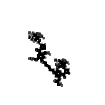 COc1cc(C(=O)N2CC[C@H]2CO[Si](C)(C)C(C)(C)C)c(N)cc1OCCCCCOc1cc(OC(N)=O)c(C(=O)N2CC[C@H]2CO[Si](C)(C)C(C)(C)C)cc1OC